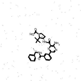 C[C@H](NC(=O)c1cccc(-c2cnc(N)c(C(=O)N[C@H]3CCN(C(=O)O)C3C(C)(C)C)n2)c1)c1ccccc1